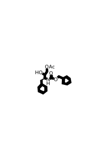 CC(=O)OCC(O)[C@H](Cc1ccccc1)NC(=O)OCc1ccccc1